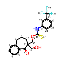 O=C1c2ccccc2CCCC1(CO)COC(=S)Nc1cccc(C(F)(F)F)c1